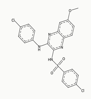 COc1ccc2nc(NS(=O)(=O)c3ccc(Cl)cc3)c(Nc3ccc(Cl)cc3)nc2c1